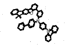 CC1(C)c2ccccc2-c2cc3c(cc21)oc1c(-c2cccc(N(c4ccc(-c5ccccc5)cc4)c4ccc(-n5c6ccccc6c6ccccc65)cc4)c2)cccc13